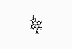 O=C(c1cccc(-c2cc[nH]n2)c1)N(c1ccccc1)C1CC1